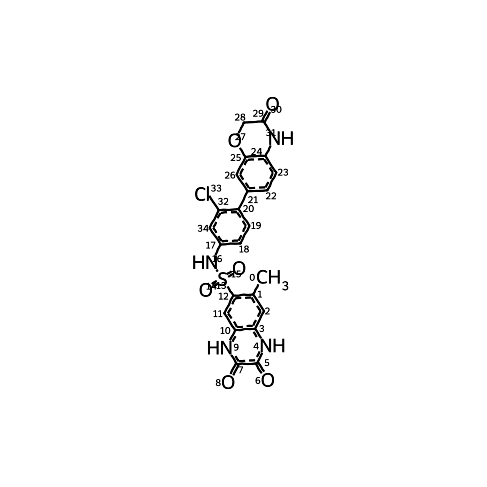 Cc1cc2[nH]c(=O)c(=O)[nH]c2cc1S(=O)(=O)Nc1ccc(-c2ccc3c(c2)OCC(=O)N3)c(Cl)c1